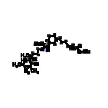 C=CN/C(=C(/CC)P(C)C)[C@@](C)(CC)CCC/N=C(\NC)N[C@H]1CCCN(CCCCCNC(=O)OC(C)(C)C)C1